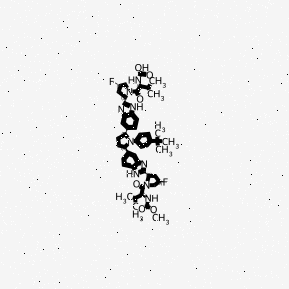 COC(=O)N[C@H](C(=O)N1C[C@@H](F)C[C@H]1c1nc2cc([C@H]3CC[C@H](c4ccc5[nH]c([C@@H]6C[C@H](F)CN6C(=O)[C@@H](NC(=O)O)C(C)C)nc5c4)N3c3ccc(C(C)(C)C)cc3)ccc2[nH]1)C(C)C